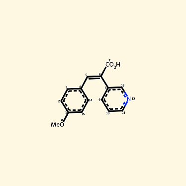 COc1ccc(/C=C(/C(=O)O)c2cccnc2)cc1